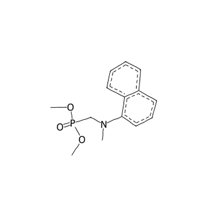 COP(=O)(CN(C)c1cccc2ccccc12)OC